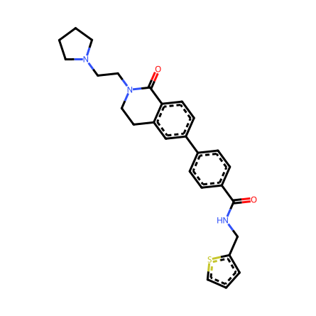 O=C(NCc1cccs1)c1ccc(-c2ccc3c(c2)CCN(CCN2CCCC2)C3=O)cc1